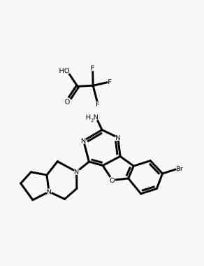 Nc1nc(N2CCN3CCCC3C2)c2oc3ccc(Br)cc3c2n1.O=C(O)C(F)(F)F